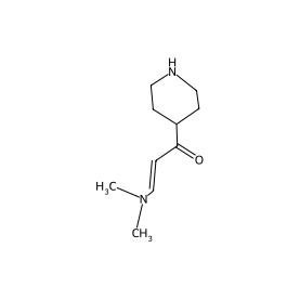 CN(C)/C=C/C(=O)C1CCNCC1